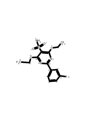 NS(=O)(=O)c1c(OCC(F)(F)F)nc(-c2cccc(F)c2)nc1OCC(F)(F)F